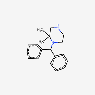 CC1(C)CNCCN1C(c1ccccc1)c1ccccc1